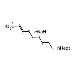 CCCCCCCCCCCCCC=CC(=O)O.[NaH]